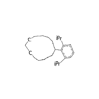 CC(C)c1cccc(C(C)C)c1C1CCCCCCCCCCC1